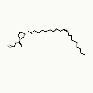 CCCCCCCC/C=C\CCCCCCCCOC[C@H]1CCN(C(=O)CCO)C1